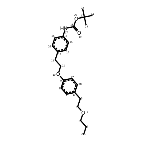 [CH2]CCOCCc1ccc(OCCc2ccc(NC(=O)OC(C)(C)C)cc2)cc1